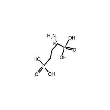 N[C@@H](CCP(=O)(O)O)P(=O)(O)O